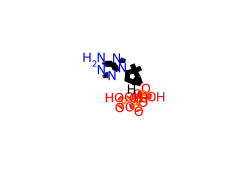 CC1(C)C2C(OP(=O)(O)OP(=O)(O)OP(=O)(O)O)[C@H]2C[C@H]1n1cnc2c(N)ncnc21